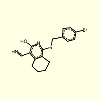 N=Cc1c(O)nc(SCc2ccc(Br)cc2)c2c1CCCC2